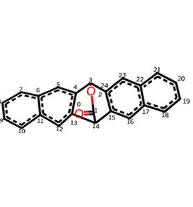 O=C1OC2c3cc4ccccc4cc3C1c1cc3ccccc3cc12